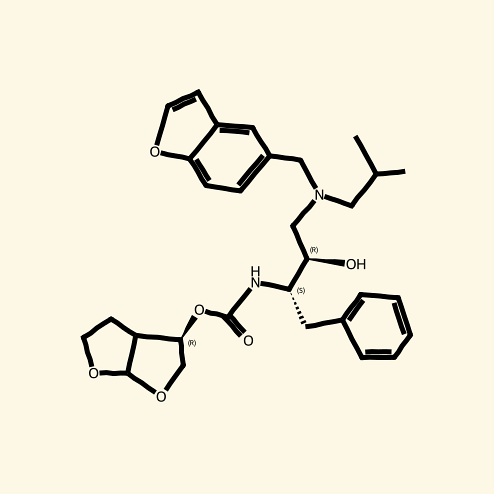 CC(C)CN(Cc1ccc2occc2c1)C[C@@H](O)[C@H](Cc1ccccc1)NC(=O)O[C@H]1COC2OCCC21